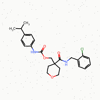 CC(C)c1ccc(NC(=O)OCC2(C(=O)NCc3ccccc3Cl)CCOCC2)cc1